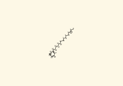 CCOCCCCCCCCCCCCCc1cccnc1